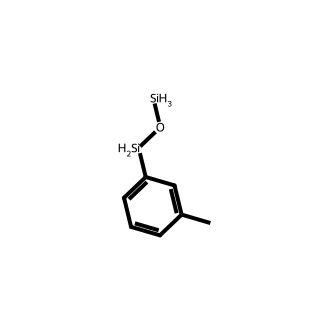 Cc1cccc([SiH2]O[SiH3])c1